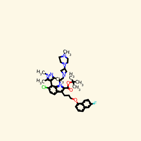 Cc1nn(C)c(C)c1-c1c(Cl)ccc2c(CCCOc3cccc4cc(F)ccc34)c(C(=O)OC(C)(C)C)n(CCN3CC(N4CCN(C)CC4)C3)c12